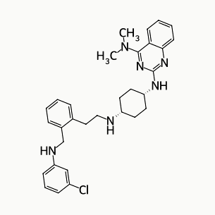 CN(C)c1nc(N[C@H]2CC[C@@H](NCCc3ccccc3CNc3cccc(Cl)c3)CC2)nc2ccccc12